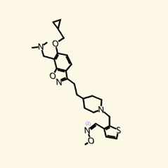 CO/N=C\c1ccsc1CN1CCC(CCc2noc3c(CN(C)C)c(OCC4CC4)ccc23)CC1